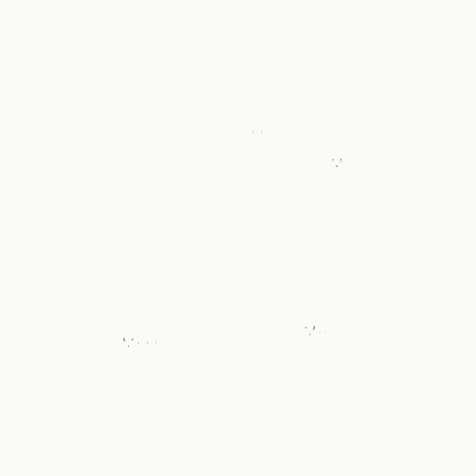 COC(=O)C1Cc2cc(OC)cc(OC)c2C1=O